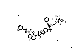 CC(C)(CO)C(=O)SCCOP(=O)(NCc1ccccc1)C(F)(F)c1ccc2sc(C(=O)NC3CCC[C@H]4CC[C@@H](C(=O)N5CC(c6cccnc6)C5)N4C3=O)cc2c1